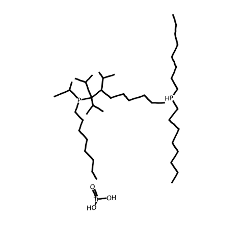 CCCCCCCCP(C(C)C)C(C(C)C)(C(C)C)C(CCCCCC)C(C)C.CCCCCCCCPCCCCCCCC.[O]=[Ti]([OH])[OH]